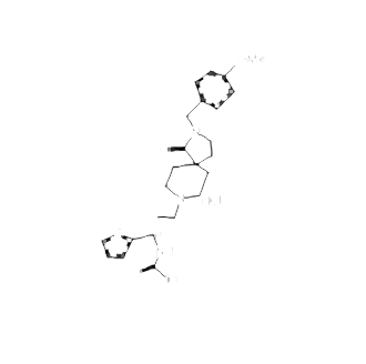 COc1ccc(CN2CCC3(CCN(CC[C@H](NC(=O)C(C)C)c4cccs4)CC3)C2=O)cc1.Cl